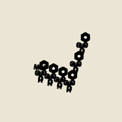 O=[PH]([O-])Oc1ccccc1.O=[PH]([O-])Oc1ccccc1.O=[PH]([O-])Oc1ccccc1.O=[PH]([O-])Oc1ccccc1.O=[PH]([O-])Oc1ccccc1.O=[PH]([O-])Oc1ccccc1.[Mo+6]